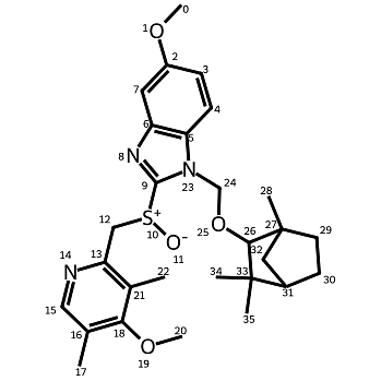 COc1ccc2c(c1)nc([S+]([O-])Cc1ncc(C)c(OC)c1C)n2COC1C2(C)CCC(C2)C1(C)C